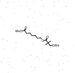 COCC(C)(C)C(=O)OCCCCCCC(=O)OC